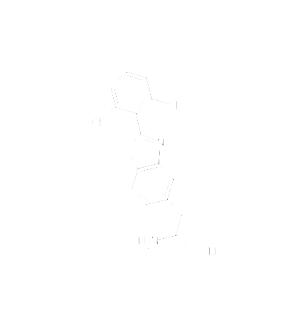 NC(Cc1ccc2oc(-c3c(Cl)cccc3Cl)nc2c1)C(=O)O